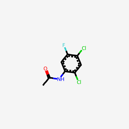 CC(=O)Nc1cc(F)c(Cl)cc1Cl